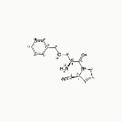 N#C[C@@H]1C=CCN1C(=O)[C@@H](N)COCc1ccccc1